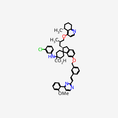 COc1ccccc1-c1ccnc(/C=C/c2cccc(COc3ccc4c(c3)C3(CCC(Nc5cccc(Cl)c5)(C(=O)O)CC3)[C@@H](C[C@@H](C)COc3ccnc5c3[C@H](C)CCC5)C4)c2)n1